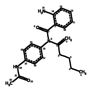 C=C(CCCC)N(C(=O)c1ccccc1N)c1ccc(NC(C)=O)cc1